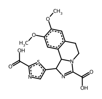 COc1cc2c(cc1OC)C1C(c3cnc(C(=O)O)s3)N=C(C(=O)O)N1CC2